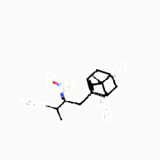 CCCCCCCCCC(C)C(CC1=CC[C@H]2C[C@@H]1C2(C)C)=[NH+][O-]